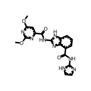 COc1cc(C(=O)Nc2nc3c(C(=O)Nc4ncc[nH]4)cccc3[nH]2)nc(OC)n1